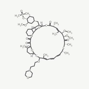 CO[C@@H]1/C(C)=C/[C@@H](C)C(=O)C[C@@H]2OC(=O)C3[C@H](CCCN3C(=O)C(=O)[C@]3(O)O[C@@H](CC[C@H]3C)CC(OCCCN3CCOCC3)/C(C)=C/C=C/C=C/[C@@H](C)C[C@@H](C)C(=O)[C@@H]1OC)C2C[C@@H]1CC[C@@H](OP(C)(C)=O)[C@H](OC)C1